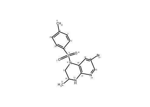 Cc1ccc(S(=O)(=O)N2CC(C)Nc3ncc(Br)cc32)cc1